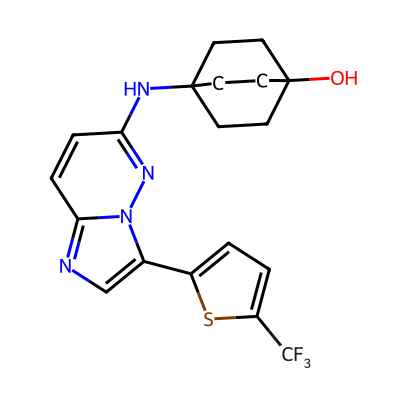 OC12CCC(Nc3ccc4ncc(-c5ccc(C(F)(F)F)s5)n4n3)(CC1)CC2